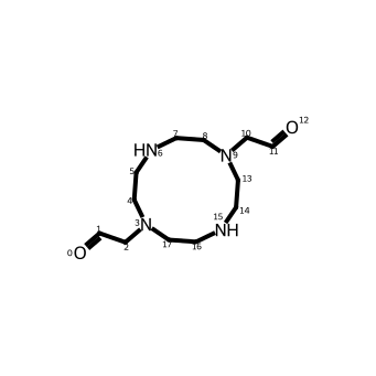 O=CCN1CCNCCN(CC=O)CCNCC1